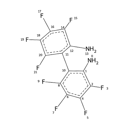 Nc1c(F)c(F)c(F)c(F)c1-c1c(N)c(F)c(F)c(F)c1F